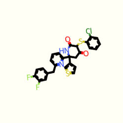 O=C1CC(c2ccsc2)(c2cccc(Cc3ccc(F)c(F)c3)n2)NC(=O)C1Sc1ccccc1Cl